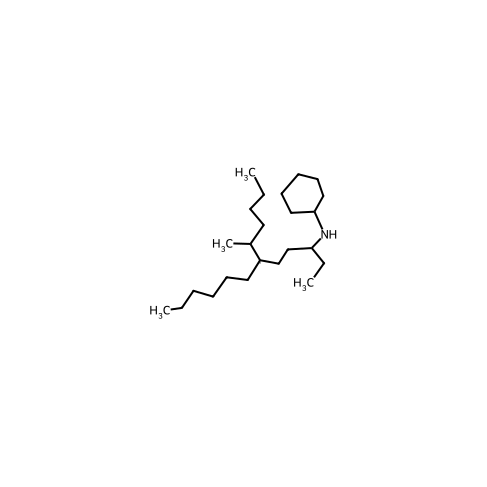 CCCCCC[C](CCC(CC)NC1CCCCC1)C(C)CCCC